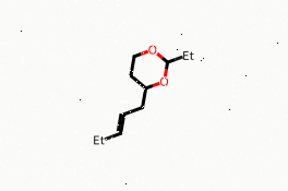 CCC=CCC1CCOC(CC)O1